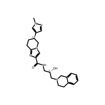 Cn1cc([C@@H]2CCc3nc(C(=O)NC[C@H](O)CN4CCc5ccccc5C4)cn3C2)cn1